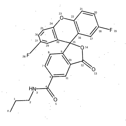 CCCNC(=O)c1ccc2c(c1)C(=O)OC21c2cc(F)[c]cc2Oc2c[c]c(F)cc21